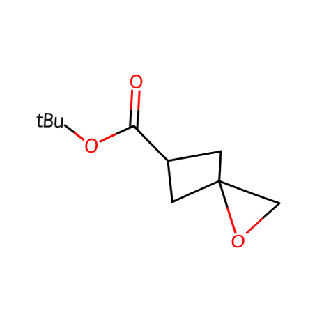 CC(C)(C)OC(=O)C1CC2(CO2)C1